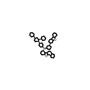 c1ccc(-c2ccc(-c3ccc(N(c4cccc(-c5ccc6c(c5)oc5ccccc56)c4)c4cccc5oc6c7ccccc7ccc6c45)cc3)c(-c3ccccc3)c2)cc1